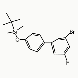 CC(C)(C)[Si](C)(C)Oc1ccc(-c2cc(F)cc(Br)c2)cc1